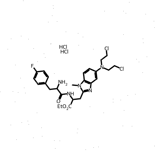 CCOC(=O)C(Cc1nc2cc(N(CCCl)CCCl)ccc2n1C)NC(=O)C(N)Cc1ccc(F)cc1.Cl.Cl